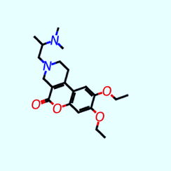 CCOc1cc2oc(=O)c3c(c2cc1OCC)CCN(CC(C)N(C)C)C3